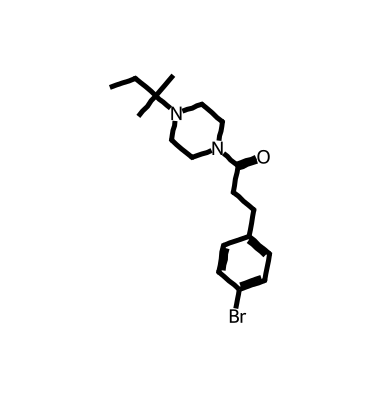 CCC(C)(C)N1CCN(C(=O)CCc2ccc(Br)cc2)CC1